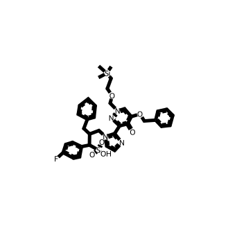 C[Si](C)(C)CCOCn1cc(OCc2ccccc2)c(=O)c(-c2nccn2CC(Cc2ccccc2)C(c2ccc(F)cc2)S(=O)(=O)O)n1